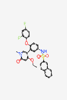 CCOc1cc(=O)n(C)cc1-c1cc(NS(=O)(=O)c2ccc3ccccc3c2)ccc1Oc1ccc(F)cc1F